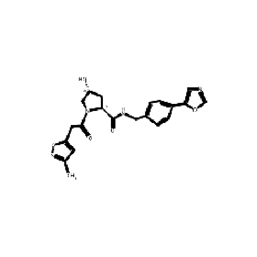 Cc1cc(CC(=O)N2C[C@H](O)C[C@H]2C(=O)NCc2ccc(-c3cnco3)cc2)on1